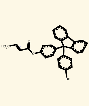 O=C(O)/C=C/C(=O)Oc1ccc(C2(c3ccc(O)cc3)c3ccccc3-c3ccccc32)cc1